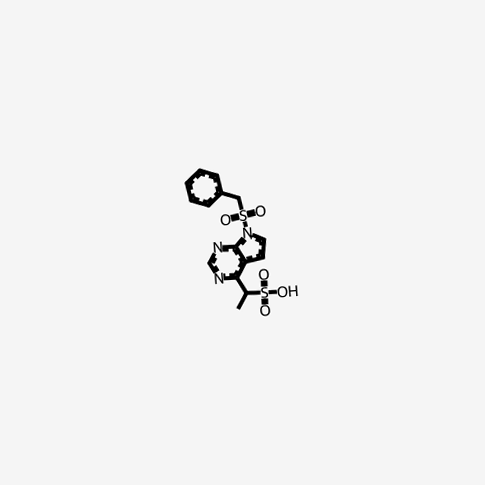 CC(c1ncnc2c1ccn2S(=O)(=O)Cc1ccccc1)S(=O)(=O)O